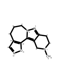 CN1CCc2nn3c(c2C1)-c1oncc1CCC3